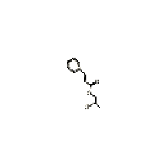 CC(Cl)COC(=O)C=Cc1ccccc1